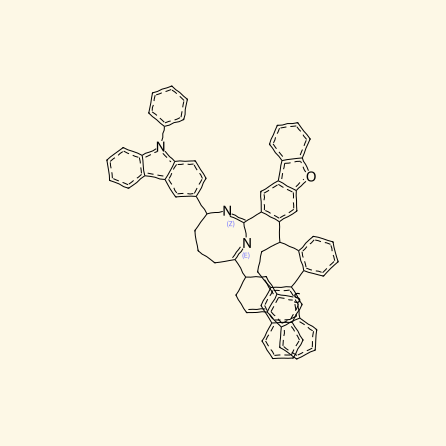 C1=c2sc3ccccc3c2=CCC1/C1=N/C(c2cc3c(cc2C2CCc4cc5ccccc5cc4-c4ccccc42)oc2ccccc23)=N\C(c2ccc3c(c2)c2ccccc2n3-c2ccccc2)CCC1